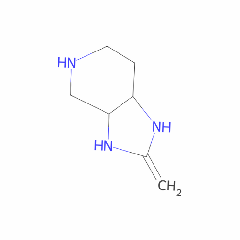 C=C1NC2CCNCC2N1